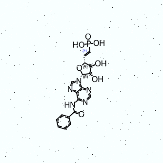 O=C(Nc1ncnc2c1ncn2[C@@H]1O[C@H](/C=C/P(=O)(O)O)[C@@H](O)[C@H]1O)c1ccccc1